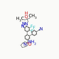 CCC(O)(CC)Cn1nnc2cc(-c3ccc(C(=O)N4C5CCC4CC(N)C5)cc3-c3ccc(C#N)c(F)c3)c(F)c(F)c21